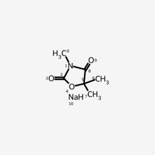 CN1C(=O)OC(C)(C)C1=O.[NaH]